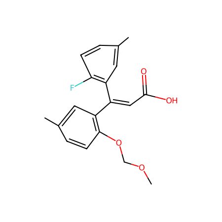 COCOc1ccc(C)cc1/C(=C/C(=O)O)c1cc(C)ccc1F